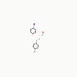 CC(C)c1ccc(CCN(CC(=O)O)S(=O)(=O)c2cc(C#N)ccc2O)cc1